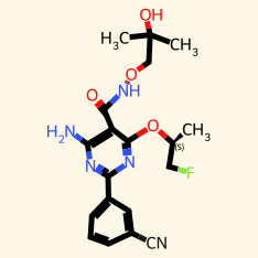 C[C@@H](CF)Oc1nc(-c2cccc(C#N)c2)nc(N)c1C(=O)NOCC(C)(C)O